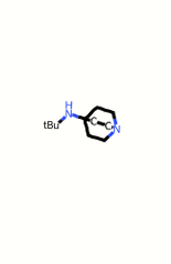 CC(C)(C)NC12CCN(CC1)CC2